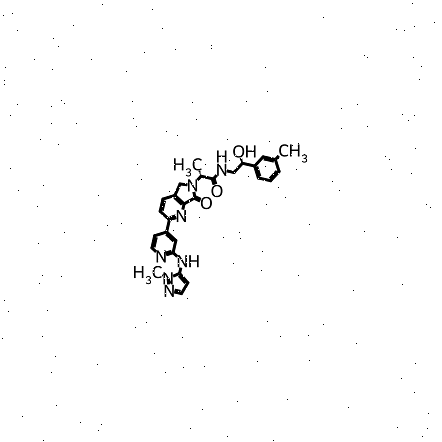 Cc1cccc([C@H](O)CNC(=O)[C@@H](C)N2Cc3ccc(-c4ccnc(Nc5ccnn5C)c4)nc3C2=O)c1